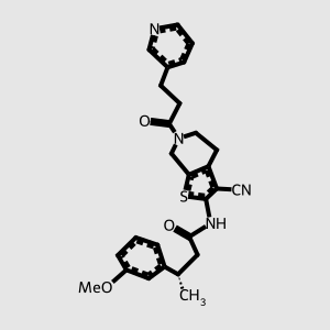 COc1cccc([C@@H](C)CC(=O)Nc2sc3c(c2C#N)CCN(C(=O)CCc2cccnc2)C3)c1